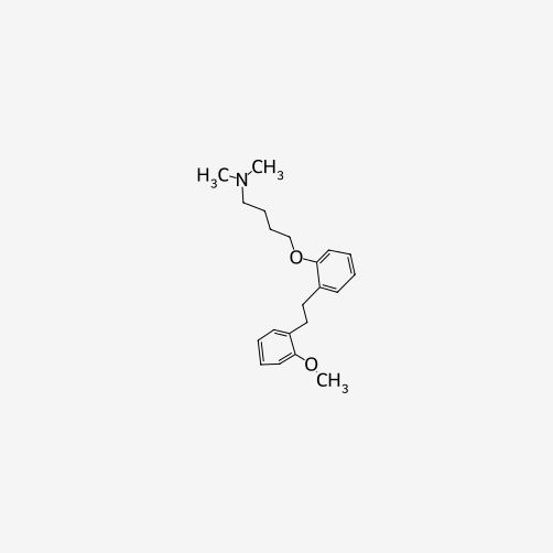 COc1ccccc1CCc1ccccc1OCCCCN(C)C